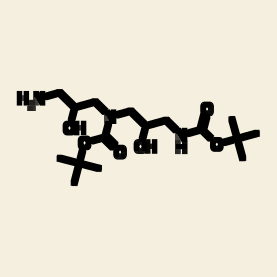 CC(C)(C)OC(=O)NCC(O)CN(CC(O)CN)C(=O)OC(C)(C)C